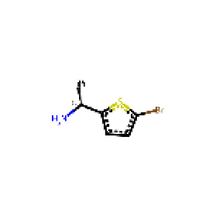 CC(C)[C@H](N)c1ccc(Br)s1